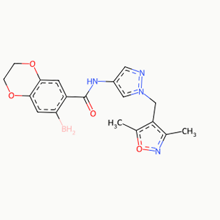 Bc1cc2c(cc1C(=O)Nc1cnn(Cc3c(C)noc3C)c1)OCCO2